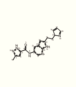 Cc1cc(C(=O)Nc2cnc3[nH]c(CCC4C=CC=N4)cc3c2)[nH]n1